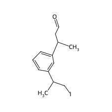 CC(CI)c1cccc(C(C)CC=O)c1